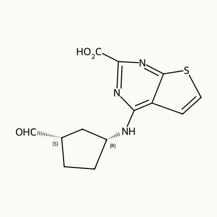 O=C[C@H]1CC[C@@H](Nc2nc(C(=O)O)nc3sccc23)C1